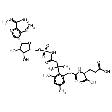 C=Nc1c(/C(N)=N\C)ncn1[C@@H]1O[C@H](COS(=O)(=O)NC(=O)CC(C)(C)c2c(C)cc(C)cc2OC(=O)N[C@@H](CCC(=O)O)C(=O)O)[C@@H](O)[C@H]1O